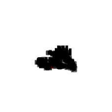 CCCCOc1nc(N)c2[nH]cc(Cc3ccc(CN4CCN(C)CC(CCCCOc5nc(N)c6[nH]cc(Cc7ccc(CN8CC(C)OC(C)C8)cc7)c6n5)C4)cc3)c2n1